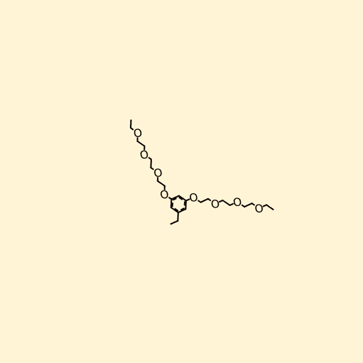 CCOCCOCCOCCOc1cc(CC)cc(OCCOCCOCCOCC)c1